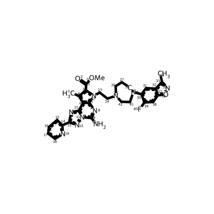 COC(=O)c1c(C)c2c(nc(N)n3nc(-c4ccccn4)nc23)n1CCN1CCCN(c2cc3c(C)noc3cc2F)CC1